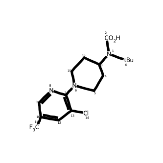 CC(C)(C)N(C(=O)O)C1CCN(c2ncc(C(F)(F)F)cc2Cl)CC1